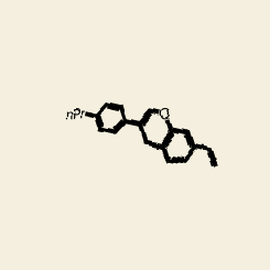 C=Cc1ccc2c(c1)OC=C(c1ccc(CCC)cc1)C2